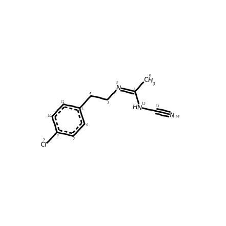 CC(=NCCc1ccc(Cl)cc1)NC#N